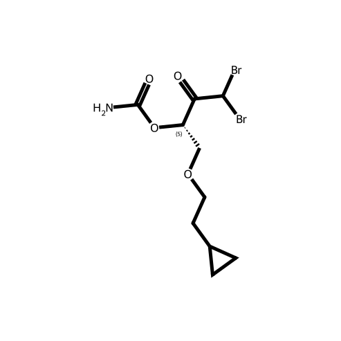 NC(=O)O[C@@H](COCCC1CC1)C(=O)C(Br)Br